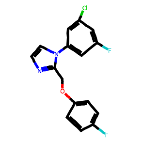 Fc1ccc(OCc2nccn2-c2cc(F)cc(Cl)c2)cc1